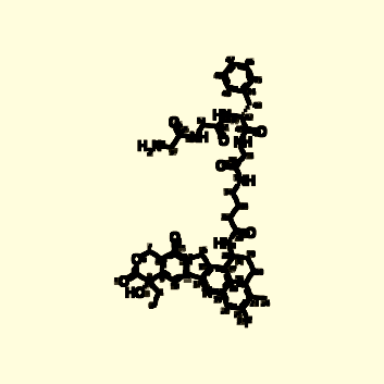 CC[C@@]1(O)C(=O)OCc2c1cc1n(c2=O)Cc2c-1nc1cc(F)c(C)c3c1c2[C@@H](NC(=O)CCCNC(=O)CNC(=O)[C@@H](Cc1ccccc1)NC(=O)CNC(=O)CN)CC3